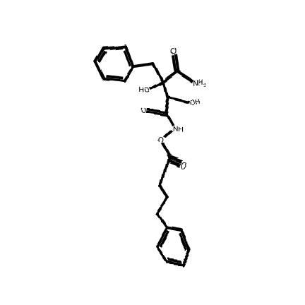 NC(=O)C(O)(Cc1ccccc1)C(O)C(=O)NOC(=O)CCCc1ccccc1